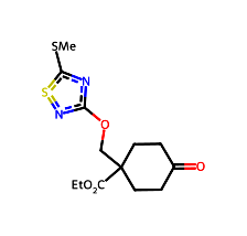 CCOC(=O)C1(COc2nsc(SC)n2)CCC(=O)CC1